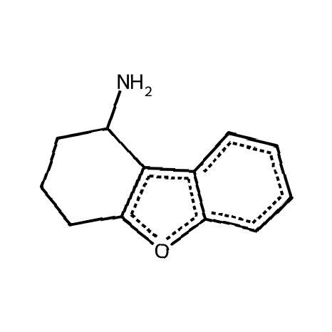 NC1CCCc2oc3ccccc3c21